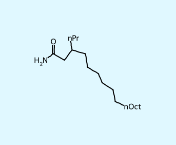 CCCCCCCCCCCCCCC(CCC)CC(N)=O